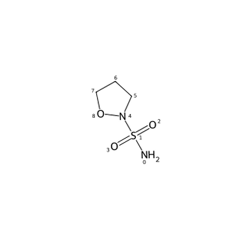 NS(=O)(=O)N1CCCO1